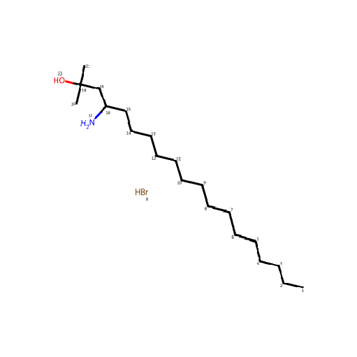 Br.CCCCCCCCCCCCCCCC(N)CC(C)(C)O